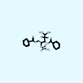 CS(=O)(=O)O[C@@H](COC(=O)c1ccccc1)[C@@H](OC(=O)c1ccccc1)C(F)(F)C(O)O